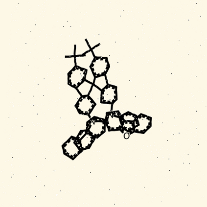 CC(C)(C)c1ccc2c(c1)C1(c3cc(N(c4ccccc4)c4ccc(-c5ccccc5)cc4)ccc3-2)c2cc(N(c3ccccc3)c3ccc4c(c3)oc3ccccc34)ccc2-c2ccc(C(C)(C)C)cc21